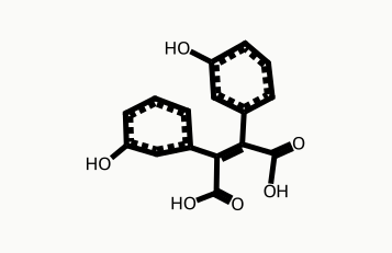 O=C(O)/C(=C(\C(=O)O)c1cccc(O)c1)c1cccc(O)c1